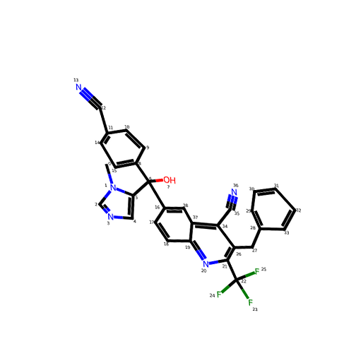 Cn1cncc1C(O)(c1ccc(C#N)cc1)c1ccc2nc(C(F)(F)F)c(Cc3ccccc3)c(C#N)c2c1